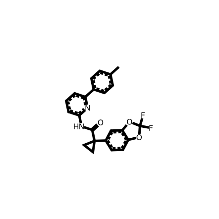 Cc1ccc(-c2cccc(NC(=O)C3(c4ccc5c(c4)OC(F)(F)O5)CC3)n2)cc1